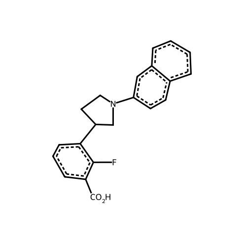 O=C(O)c1cccc(C2CCN(c3ccc4ccccc4c3)C2)c1F